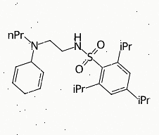 CCCN(CCNS(=O)(=O)c1c(C(C)C)cc(C(C)C)cc1C(C)C)C1C=CCC=C1